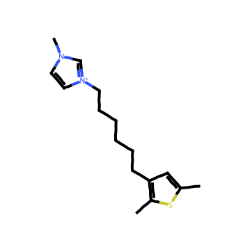 Cc1cc(CCCCCC[n+]2ccn(C)c2)c(C)s1